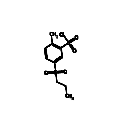 CCCS(=O)(=O)c1ccc(C)c(S(=O)(=O)Cl)c1